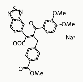 COC(=O)c1ccc(CC(C(=O)c2ccc(OC)c(OC)c2)=C(C(=O)[O-])c2ccc3nsnc3c2)cc1.[Na+]